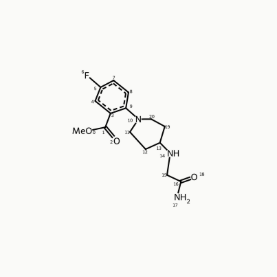 COC(=O)c1cc(F)ccc1N1CCC(NCC(N)=O)CC1